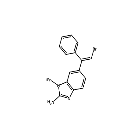 CC(C)n1c(N)nc2ccc(C(=CBr)c3ccccc3)cc21